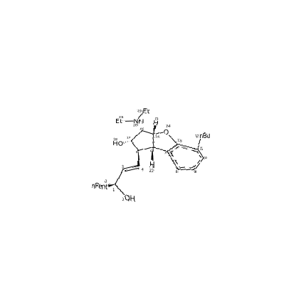 CCCCC[C@H](O)C=C[C@@H]1[C@H]2c3cccc(CCCC)c3O[C@H]2C[C@H]1O.CCNCC